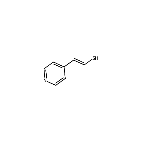 SC=Cc1ccncc1